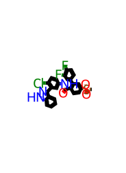 CS(=O)(=O)c1ccc(C(=O)Nc2ccc(Cl)c(-c3n[nH]c4ccccc34)c2)c(-c2ccc(F)c(F)c2)c1